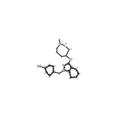 CN1CCCC(Oc2nn(Cc3ccc(Cl)cc3)c3ccccc23)CC1